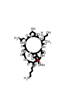 CC[C@H](C)[C@@H]1NC(=O)CNC(=O)[C@@H]2Cc3c([nH]c4c(CSCCCCN)c(OC)ccc34)[S+]([O-])C[C@H](NC(=O)CNC1=O)C(=O)N[C@@H](CC(N)=O)C(=O)N1C[C@H](O)C[C@H]1C(=O)N[C@@H]([C@@H](C)[C@H](O)CO)C(=O)N2